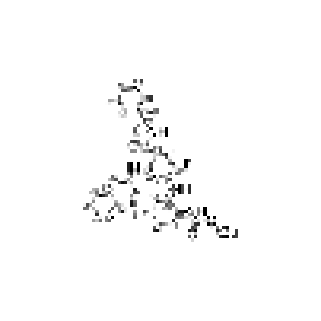 Cc1cc(Nc2nc(N[C@@H]3CCCC[C@@H]3NC(=O)OC(C)(C)C)c(F)cc2C(=O)NC(C)(C)c2ccccc2)cc2cccnc12